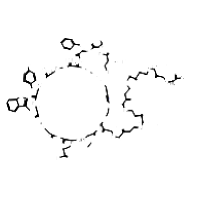 CC(=O)N[C@@H](CC(C)C)C(=O)N[C@H](C(=O)N[C@@H](Cc1ccccc1)C(=O)N[C@]1(C)CCCCCC/C=C/CCC[C@@](C)(C(=O)CN[C@@H](C)C(=O)CCN[C@@H](C)C(=O)CCN[C@@H](C)C(=O)CCN[C@@H](C)C(=O)CCN[C@@H](C)C(=O)CN[C@H](C)C(N)=O)NC(=O)[C@H](CC(C)C)NN[C@@H](CCC(N)=O)C(=O)CC(=O)[C@H](C)NCC(=O)[C@H](Cc2c[nH]c3ccccc23)NC(=O)[C@H](Cc2ccc(O)cc2)NCC(=O)[C@H](C)NCC1=O)[C@@H](C)O